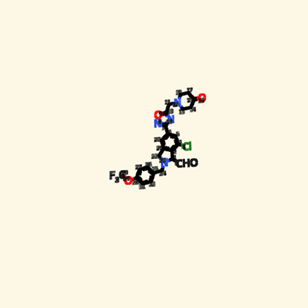 O=CC1c2c(Cl)cc(-c3noc(CN4CCC(=O)CC4)n3)cc2CN1Cc1ccc(OC(F)(F)F)cc1